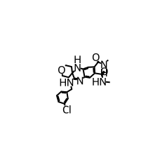 CNC(=O)c1cc2c(cc1C(=O)NC)NC1(CCOCC1)C(NCc1cccc(Cl)c1)=N2